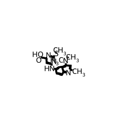 CSc1nc(Nc2ccc3nc(C)cc(N(C)C)c3c2)cc(C(=O)O)n1